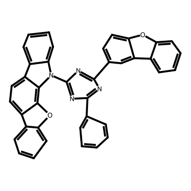 c1ccc(-c2nc(-c3ccc4oc5ccccc5c4c3)nc(-n3c4ccccc4c4ccc5c6ccccc6oc5c43)n2)cc1